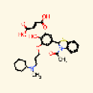 CC(=O)N1c2ccccc2SC1c1ccc(O)c(OCCCN(C)C2CCCCC2)c1.O=C(O)C=CC(=O)O